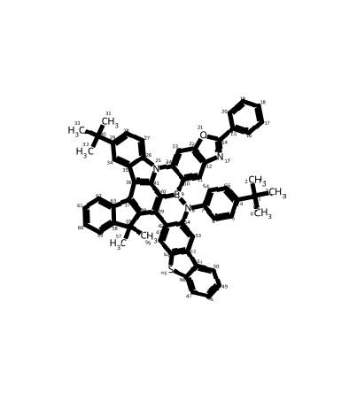 CC(C)(C)c1ccc(N2B3c4cc5nc(-c6ccccc6)oc5cc4-n4c5ccc(C(C)(C)C)cc5c5c6c(c(c3c54)-c3cc4sc5ccccc5c4cc32)C(C)(C)c2ccccc2-6)cc1